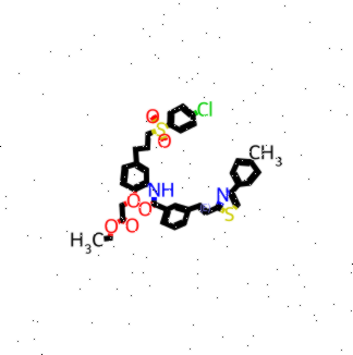 CCOC(=O)COc1ccc(CCCS(=O)(=O)c2ccc(Cl)cc2)cc1NC(=O)c1cccc(/C=C/c2nc(-c3ccc(C)cc3)cs2)c1